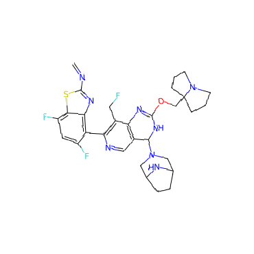 C=Nc1nc2c(-c3ncc4c(c3CF)N=C(OCC35CCCN3CCC5)NC4N3CC4CCC(C3)N4)c(F)cc(F)c2s1